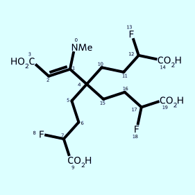 CN/C(=C\C(=O)O)C(CCC(F)C(=O)O)(CCC(F)C(=O)O)CCC(F)C(=O)O